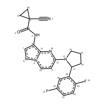 N#CC1(C(=O)Nc2cnn3ccc(N4CCCC4c4cc(F)ccc4F)nc23)CC1